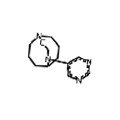 c1ncc(N2CCN3CCCC2CCC3)cn1